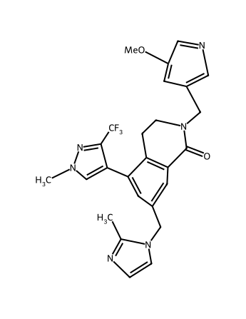 COc1cncc(CN2CCc3c(cc(Cn4ccnc4C)cc3-c3cn(C)nc3C(F)(F)F)C2=O)c1